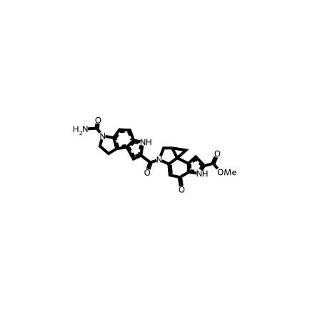 COC(=O)c1cc2c([nH]1)C(=O)C=C1N(C(=O)c3cc4c5c(ccc4[nH]3)N(C(N)=O)CC5)CC3CC123